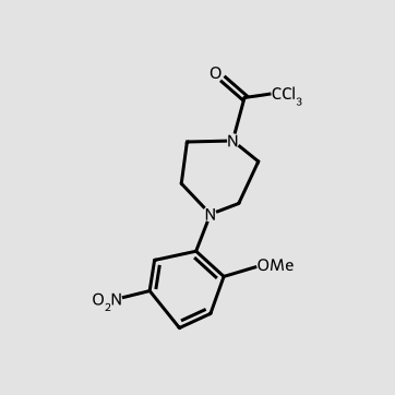 COc1ccc([N+](=O)[O-])cc1N1CCN(C(=O)C(Cl)(Cl)Cl)CC1